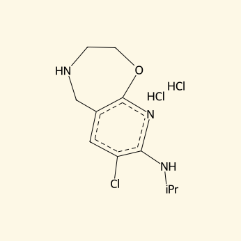 CC(C)Nc1nc2c(cc1Cl)CNCCO2.Cl.Cl